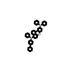 c1ccc(-c2ccc(N(c3ccccc3)c3ccc4c5c(cccc35)-c3cc(N(c5ccccc5)c5ccccc5)ccc3O4)cc2)cc1